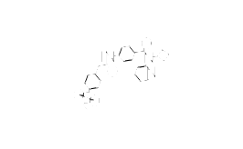 CCS(=O)(=O)c1ccc(CC(=O)Nc2ccc(C(=O)N(c3ccccn3)C3CCC3)cc2)cc1